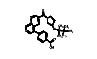 CC(C)(C)[Si](C)(C)OC1CCN(C(=O)c2cnc3cncc(-c4ccc(C(=O)O)cc4)c3c2)C1